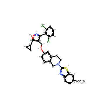 CCOC(=O)c1ccc2nc(N3CCc4cc(OCc5c(-c6c(Cl)cccc6Cl)noc5C5CC5)ccc4C3)sc2c1